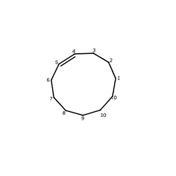 [CH]1CCCC=CCCCCC1